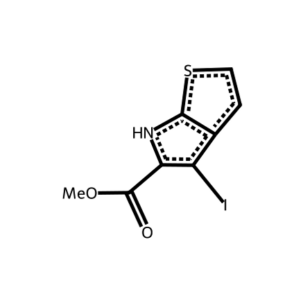 COC(=O)c1[nH]c2sccc2c1I